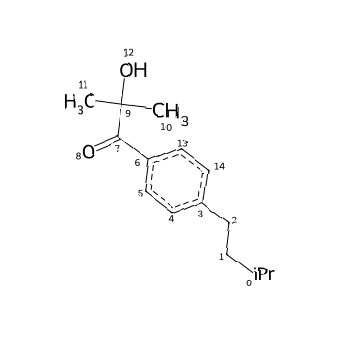 CC(C)CCc1ccc(C(=O)C(C)(C)O)cc1